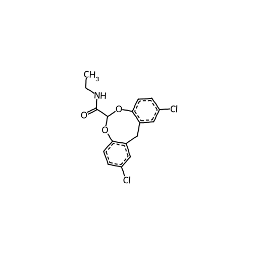 CCNC(=O)C1Oc2ccc(Cl)cc2Cc2cc(Cl)ccc2O1